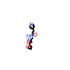 O=C(/C=C/c1ccncc1)NCc1cc(-c2ccco2)on1